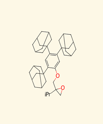 CC(C)C1(COc2cc(C34CC5CC(CC(C5)C3)C4)c(C34CC5CC(CC(C5)C3)C4)cc2C23CC4CC(CC(C4)C2)C3)CO1